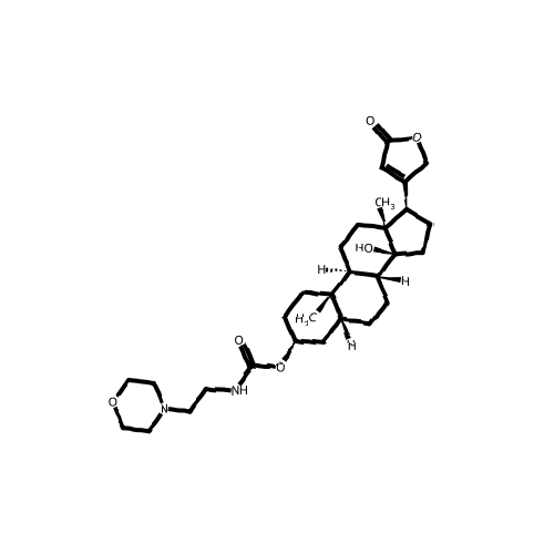 C[C@]12CC[C@H](OC(=O)NCCN3CCOCC3)C[C@H]1CC[C@@H]1[C@@H]2CC[C@]2(C)[C@@H](C3=CC(=O)OC3)[CH]C[C@]12O